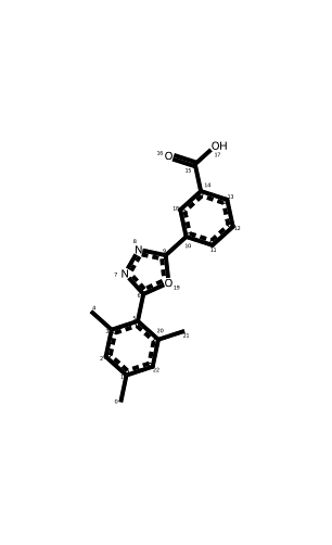 Cc1cc(C)c(-c2nnc(-c3cccc(C(=O)O)c3)o2)c(C)c1